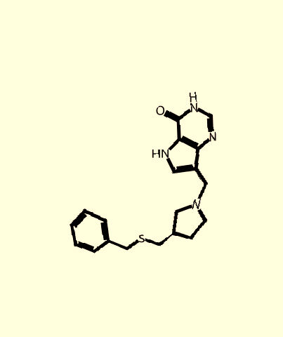 O=c1[nH]cnc2c(CN3CC[C@@H](CSCc4ccccc4)C3)c[nH]c12